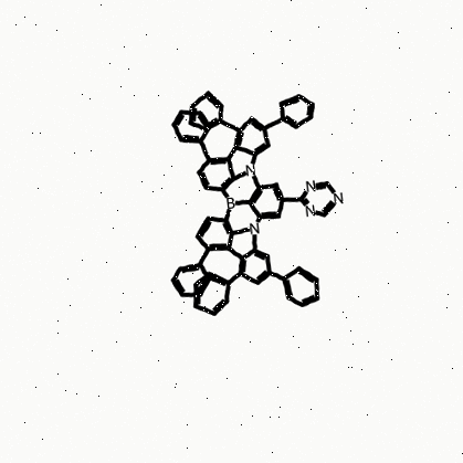 c1ccc(-c2cc(-c3ccccc3)c3c4c(-c5ccccc5)ccc5c4n(c3c2)-c2cc(-c3ncncn3)cc3c2B5c2ccc(-c4ccccc4)c4c5c(-c6ccccc6)cc(-c6ccccc6)cc5n-3c24)cc1